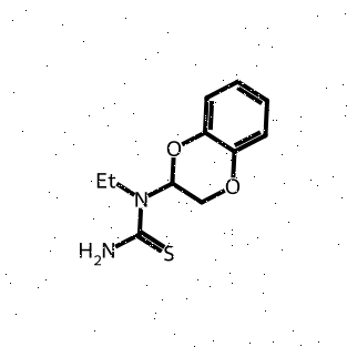 CCN(C(N)=S)C1COc2ccccc2O1